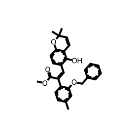 COC(=O)C(=Cc1ccc2c(c1O)C=CC(C)(C)O2)c1ccc(C)cc1OCc1ccccc1